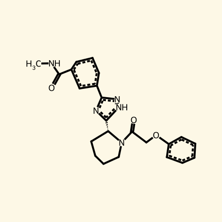 CNC(=O)c1cccc(-c2n[nH]c([C@H]3CCCCN3C(=O)COc3ccccc3)n2)c1